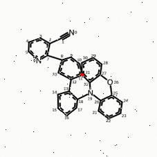 N#Cc1cccnc1-c1cccc(-c2ccccc2N2c3ccccc3Oc3ccccc32)c1